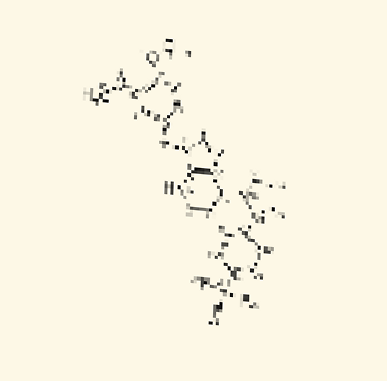 COc1ccc(Cn2ccc3c2NCCC3N2CCCC2c2ccc(C(F)(F)F)cc2)cc1OC